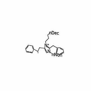 CCCCCCCCCCCCC[n+]1c(CC(C)c2ccccc2)cn(CCCCCCCCC)c1Cc1ccccc1